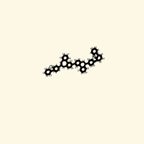 C1=C(c2ccc3c(c2)oc2ccccc23)Cc2ccc(-c3ccc4c(c3)-c3ccccc3C(c3ccc5c6cccc7c8ccccc8n(c5c3)c76)C4)cc2-c2ccccc21